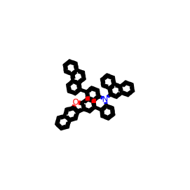 c1ccc(N(c2ccc(-c3cccc4c3ccc3ccccc34)cc2)c2cc3ccccc3c3ccccc23)c(-c2ccc3oc4cc5ccccc5cc4c3c2)c1